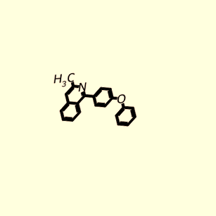 Cc1cc2ccccc2c(-c2ccc(Oc3ccccc3)cc2)n1